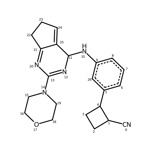 N#CC1CCC1c1cccc(NC2N=C(N3CCOCC3)N=C3CCC=C32)c1